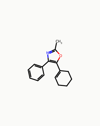 Cc1nc(-c2ccccc2)c(C2=CCCCC2)o1